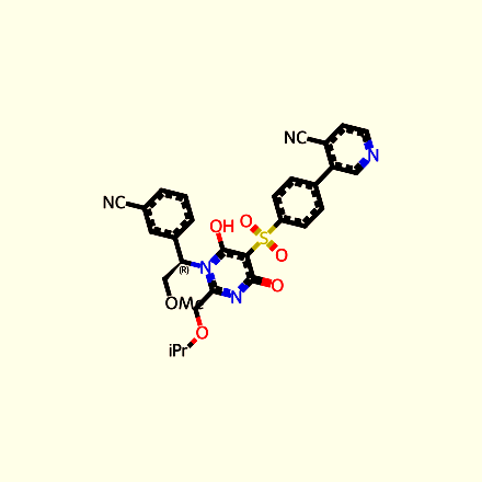 COC[C@@H](c1cccc(C#N)c1)n1c(COC(C)C)nc(=O)c(S(=O)(=O)c2ccc(-c3cnccc3C#N)cc2)c1O